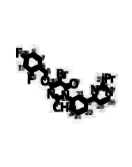 Cc1nc(OCc2ccc(F)cc2F)c(Br)c(=O)n1-c1cccc(-c2ccnc(C(C)C)n2)c1